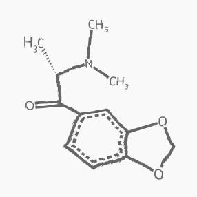 C[C@@H](C(=O)c1ccc2c(c1)OCO2)N(C)C